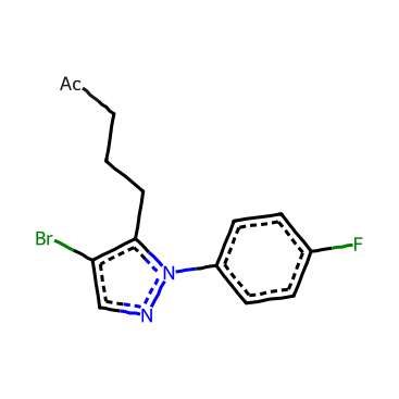 CC(=O)CCCc1c(Br)cnn1-c1ccc(F)cc1